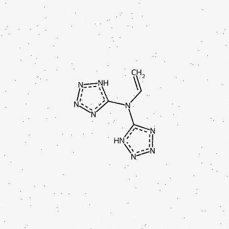 C=CN(c1nnn[nH]1)c1nnn[nH]1